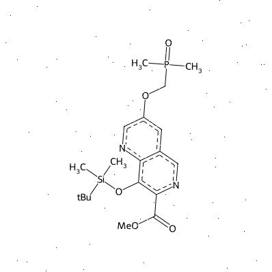 COC(=O)c1ncc2cc(OCP(C)(C)=O)cnc2c1O[Si](C)(C)C(C)(C)C